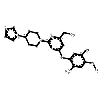 CCOc1cc(C)c(Nc2cc(CO)nc(N3CCC(n4ccnc4)CC3)n2)cc1C(C)C